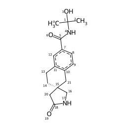 CC(C)(O)NC(=O)c1ccc2c(c1)CC[C@@]1(CNC(=O)C1)C2